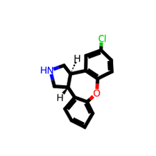 Clc1ccc2c(c1)[C@@H]1CNC[C@H]1c1ccccc1O2